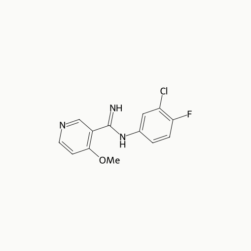 COc1ccncc1C(=N)Nc1ccc(F)c(Cl)c1